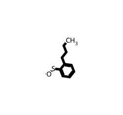 CCCCc1ccccc1S[O]